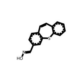 ON=Cc1ccc2c(c1)Sc1ccccc1C=C2